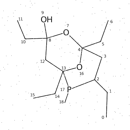 CCC1CC2(CC)OC(O)(CC)CC(CC)(O2)P1C